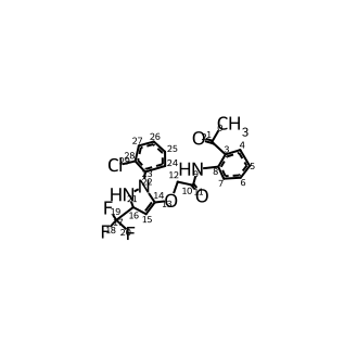 CC(=O)c1ccccc1NC(=O)COC1=CC(C(F)(F)F)NN1c1ccccc1Cl